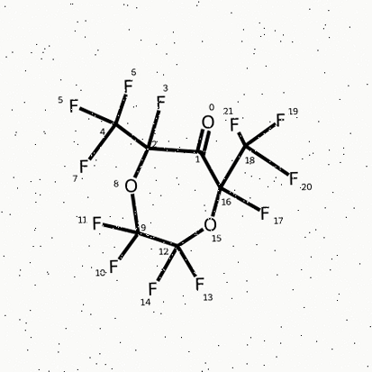 O=C1C(F)(C(F)(F)F)OC(F)(F)C(F)(F)OC1(F)C(F)(F)F